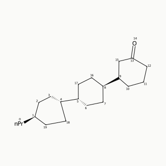 CCC[C@H]1CC[C@H]([C@H]2CC[C@H](C3CCCC(=O)C3)CC2)CC1